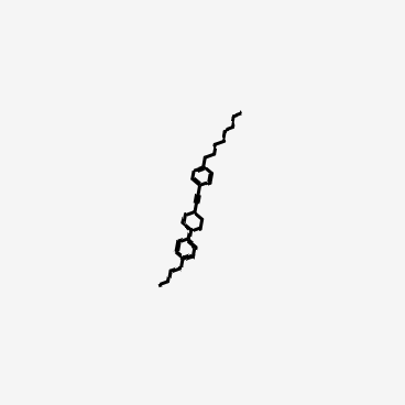 CCCCCCCCc1ccc(C#CC2CCC(c3ccc(CCCC)cc3)CC2)cc1